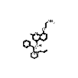 C=CCN1CCCC[C@H]1[C@@H](Nc1cc(C)nc2c(OCCN)cccc12)c1ccccc1